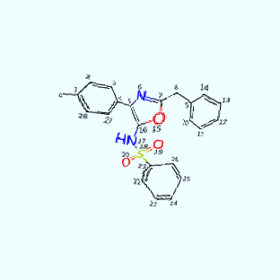 Cc1ccc(-c2nc(Cc3ccccc3)oc2NS(=O)(=O)c2ccccc2)cc1